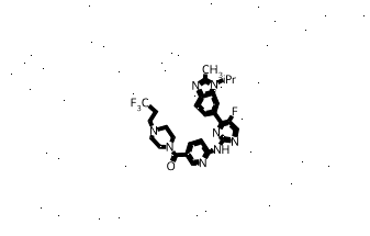 Cc1nc2ccc(-c3nc(Nc4ccc(C(=O)N5CCN(CCC(F)(F)F)CC5)cn4)ncc3F)cc2n1C(C)C